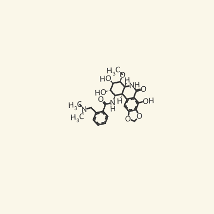 CO[C@@H]1[C@H](O)[C@@H](O)[C@H](NC(=O)c2ccccc2CN(C)C)[C@@H]2c3cc4c(c(O)c3C(=O)N[C@@H]12)OCO4